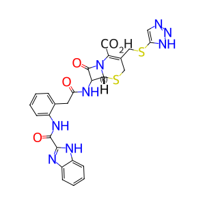 O=C(Cc1ccccc1NC(=O)c1nc2ccccc2[nH]1)NC1C(=O)N2C(C(=O)O)=C(CSc3cnn[nH]3)CS[C@H]12